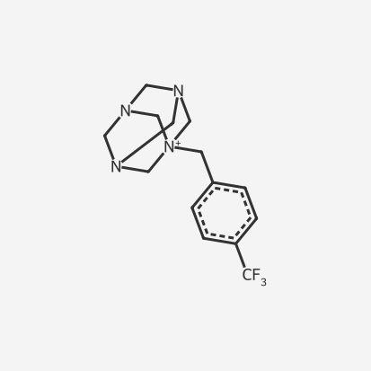 FC(F)(F)c1ccc(C[N+]23CN4CN(CN(C4)C2)C3)cc1